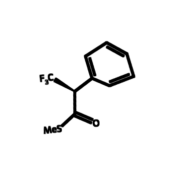 CSC(=O)[C@H](c1ccccc1)C(F)(F)F